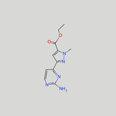 CCOC(=O)c1cc(-c2ccnc(N)n2)nn1C